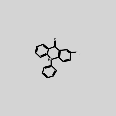 O=C1c2ccccc2[SH](c2ccccc2)c2ccc(C(F)(F)F)cc21